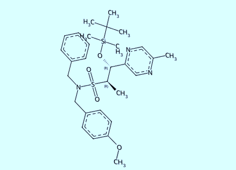 COc1ccc(CN(Cc2ccccc2)S(=O)(=O)[C@H](C)[C@H](O[Si](C)(C)C(C)(C)C)c2cnc(C)cn2)cc1